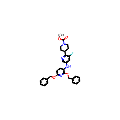 CC(C)(C)OC(=O)N1CCC(c2ncc(Nc3ccc(OCc4ccccc4)nc3OCc3ccccc3)cc2F)CC1